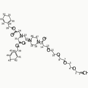 C#CCOCCOCCOCCOCCC(=O)N1CCN(CCN(CC(=O)OCC2=CCCC=C2)CC(=O)OCC2=CCCC=C2)CC1